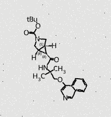 CC(C)(COc1cncc2ccccc12)NC(=O)[C@H]1[C@@H]2CN(C(=O)OC(C)(C)C)C[C@@H]21